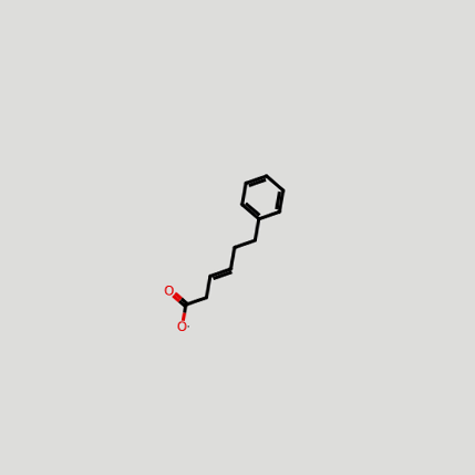 [O]C(=O)CC=CCCc1ccccc1